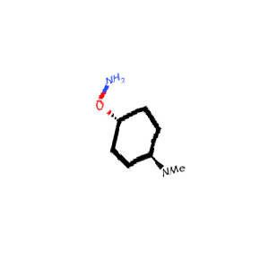 CN[C@H]1CC[C@H](ON)CC1